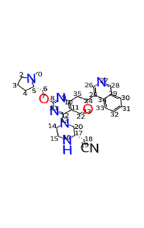 CN1CCC[C@H]1COc1nc2c(c(N3CCN[C@@H](CC#N)C3)n1)COC(c1cncc3ccccc13)C2